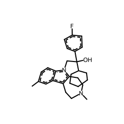 Cc1ccc2c(c1)c1c(n2CC(O)(c2ccc(F)cc2)C2CCCCC2)CCN(C)CC1